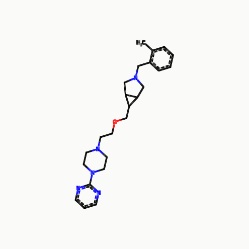 Cc1ccccc1CN1CC2C(COCCN3CCN(c4ncccn4)CC3)C2C1